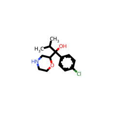 CC(C)C(O)(c1ccc(Cl)cc1)C1CNCCO1